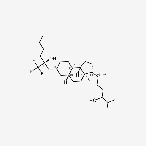 CCCC[C@](O)(C[C@@H]1CC[C@@H]2[C@H](CC[C@]3(C)[C@@H]([C@H](C)CCC(O)C(C)C)CC[C@@H]23)C1)C(F)(F)F